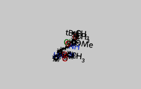 COc1cc(NC(=O)CCCCc2ccc(-c3ccccc3)c(NC(=O)OC3CCN(C)CC3)c2)c(Cl)cc1CO[Si](C)(C)C(C)(C)C